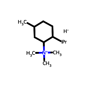 CC1CCC(C(C)C)C([N+](C)(C)C)C1.[H-]